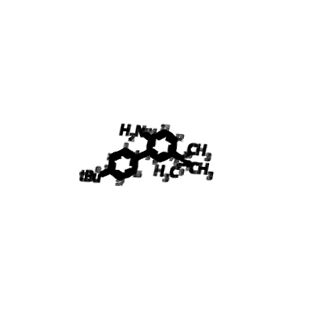 CC(C)(C)c1ccc(-c2cc(S(C)(C)C)ccc2N)cc1